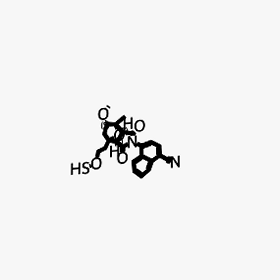 CO[C@H]1CC2(CCOS)OC1(C)[C@@H]1C(=O)N(c3ccc(C#N)c4ccccc34)C(=O)[C@@H]12